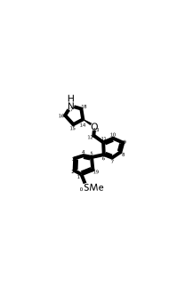 CSc1cccc(-c2ccccc2CO[C@H]2CCNC2)c1